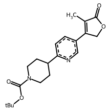 CC1=C(c2ccc(C3CCN(C(=O)OC(C)(C)C)CC3)nc2)COC1=O